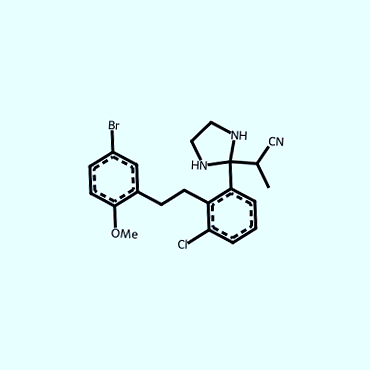 COc1ccc(Br)cc1CCc1c(Cl)cccc1C1(C(C)C#N)NCCN1